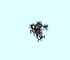 Cn1ccc2c(N3C4CC[C@H]3CC(OCc3c(-c5ccccc5OC(F)(F)F)noc3C3CC3)C4)ncc(C(=O)O)c21